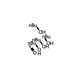 CCCCO.CCCCO.CCCCO.CCCCO.[O]=[V]